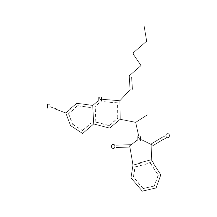 CCCCC=Cc1nc2cc(F)ccc2cc1C(C)N1C(=O)c2ccccc2C1=O